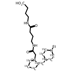 CCN1[13CH2][13CH2][15N]([13CH2][13CH]2[13CH2][13CH2][13CH2][15N]2CC(=O)NCCCC(=O)NCCCC(=O)O)[13CH2][13CH2]1